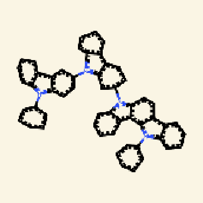 c1ccc(-n2c3ccccc3c3cc(-n4c5ccccc5c5ccc(-n6c7ccccc7c7c6ccc6c8ccccc8n(-c8ccccc8)c67)cc54)ccc32)cc1